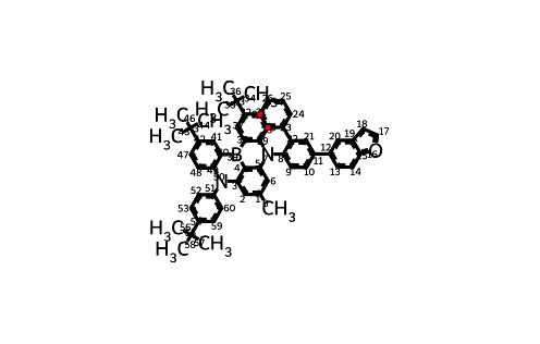 Cc1cc2c3c(c1)N(c1ccc(-c4ccc5occc5c4)cc1-c1ccccc1)c1ccc(C(C)(C)C)cc1B3c1cc(C(C)(C)C)ccc1N2c1ccc(C(C)(C)C)cc1